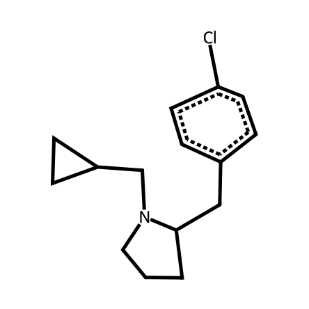 Clc1ccc(CC2CCCN2CC2CC2)cc1